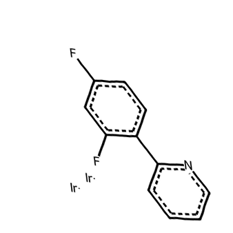 Fc1ccc(-c2ccccn2)c(F)c1.[Ir].[Ir]